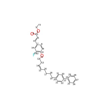 CCOC(=O)/C=C/c1ccc(OCC/C=C\CCCCc2ccc(-c3ccccc3)cc2)c(F)c1